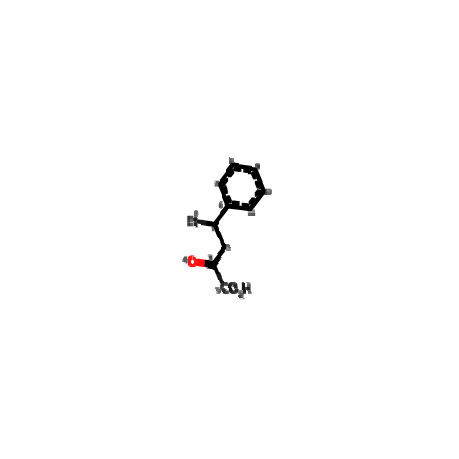 CCC(CC(=O)C(=O)O)c1ccccc1